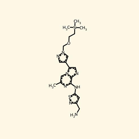 Cc1cn2c(-c3cnn(COCC[Si](C)(C)C)c3)cnc2c(Nc2cc(CN)ns2)n1